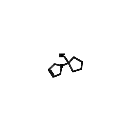 N#CC1(N2CC=CC2)CCCC1